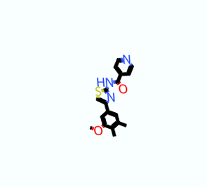 COc1cc(-c2csc(NC(=O)c3ccncc3)n2)cc(C)c1C